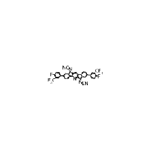 N#C/N=c1\c2cc(-c3ccc(F)c(C(F)(F)F)c3)ccc2c2nc3/c(=N/C#N)c4cc(-c5ccc(F)c(C(F)(F)F)c5)ccc4c3cc12